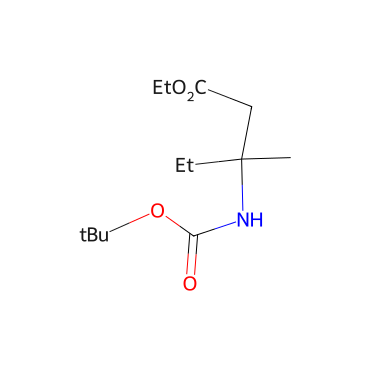 CCOC(=O)CC(C)(CC)NC(=O)OC(C)(C)C